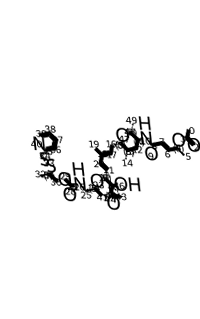 CC(=O)O[C@@H](C)C=CC(=O)N[C@@H]1C[C@H](C)[C@H](CC=C(C)C=C[C@H]2O[C@H](CNC(=O)OC[C@@H](C)SSc3ccccn3)C[C@@]3(CO3)[C@@H]2O)O[C@@H]1C